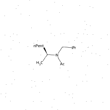 CCCCC[C@H](C)N(CC(C)C)C(C)=O